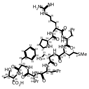 CSCC[C@H](NC(=O)[C@H](CC(C)C)NC(=O)[C@H](CCCNC(=N)N)NC(=O)[C@@H]1CCCN1)C(=O)N[C@@H](CS)C(=O)N[C@@H](CC(C)C)C(=O)N[C@H](C(=O)N[C@@H](Cc1ccccc1)C(=O)N[C@H](C(=O)O)[C@@H](C)O)C(C)C